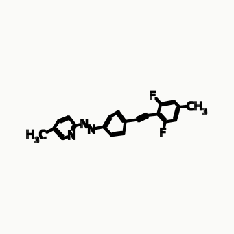 Cc1ccc(N=Nc2ccc(C#Cc3c(F)cc(C)cc3F)cc2)nc1